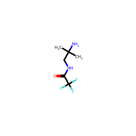 CC(C)(N)CNC(=O)C(F)(F)F